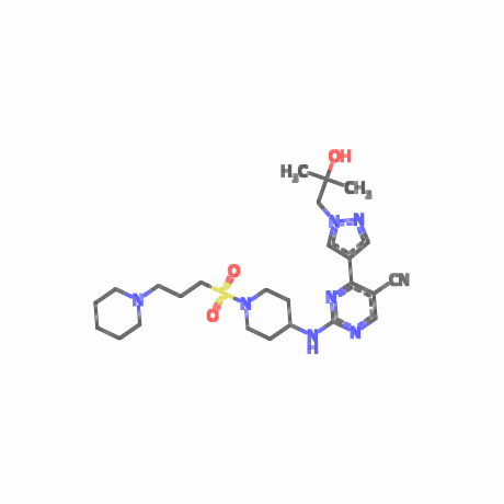 CC(C)(O)Cn1cc(-c2nc(NC3CCN(S(=O)(=O)CCCN4CCCCC4)CC3)ncc2C#N)cn1